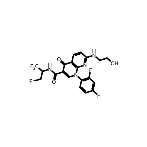 CC(C)CC(NC(=O)c1cn(-c2ccc(F)cc2F)c2nc(NCCO)ccc2c1=O)C(F)(F)F